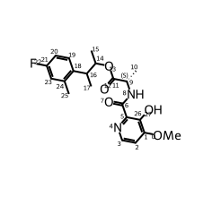 COc1ccnc(C(=O)N[C@@H](C)C(=O)OC(C)C(C)c2ccc(F)cc2C)c1O